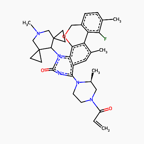 C=CC(=O)N1CCN(c2nc(=O)n(C3C4(CC4)CN(C)CC34CC4)c3c4c(c(C)cc23)-c2c(ccc(C)c2F)CO4)[C@@H](C)C1